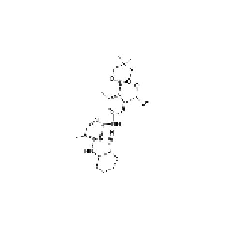 COC(=O)c1cc(Nc2ncc(C)c(NC3CCCCC3C#N)n2)cc(C)c1B1OCC(C)(C)CO1